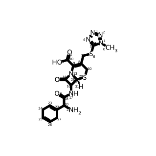 Cn1nnnc1SCC1=C(C(=O)O)N2C(=O)C(NC(=O)C(N)C3=CCC=CC3)[C@H]2SC1